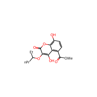 CCCC(CC)Oc1c(O)c2c(C(=O)OC)ccc(O)c2oc1=O